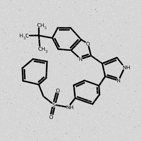 CC(C)(C)c1ccc2oc(-c3c[nH]nc3-c3ccc(NS(=O)(=O)Cc4ccccc4)cc3)nc2c1